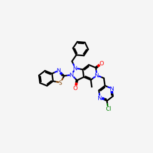 Cc1c2c(=O)n(-c3nc4ccccc4s3)n(Cc3ccccc3)c2cc(=O)n1Cc1cnc(Cl)cn1